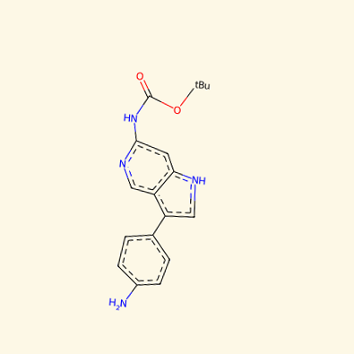 CC(C)(C)OC(=O)Nc1cc2[nH]cc(-c3ccc(N)cc3)c2cn1